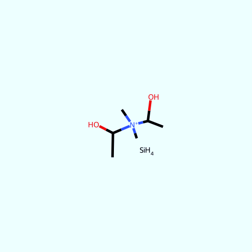 CC(O)[N+](C)(C)C(C)O.[SiH4]